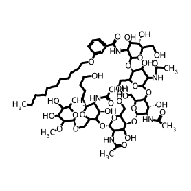 CCCCCCCCCCCOc1cccc(C(=O)NC2C(O[C@@H]3C(CO)OC(OC4C(CO)O[C@@H](O[C@@H]5C(CO)O[C@@H](OC6C(CO[C@@H]7OC(C)C(O)C(O)C7OC)O[C@@H](CCCCO)[C@@H](NC(C)=O)[C@H]6O)C(NC(C)=O)C5O)[C@@H](NC(C)=O)[C@H]4O)C(NC(C)=O)C3O)OC(CO)[C@@H](O)C2O)c1